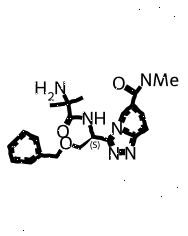 CNC(=O)c1ccc2nnc([C@@H](COCc3ccccc3)NC(=O)C(C)(C)N)n2c1